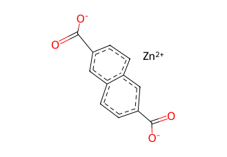 O=C([O-])c1ccc2cc(C(=O)[O-])ccc2c1.[Zn+2]